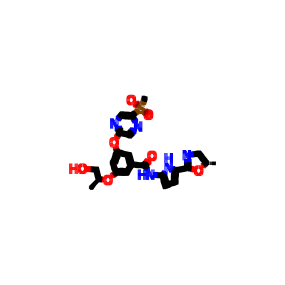 C[C@H]1CN=C(c2ccc(NC(=O)c3cc(Oc4cnc(S(C)(=O)=O)cn4)cc(O[C@@H](C)CO)c3)[nH]2)O1